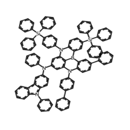 c1ccc(-c2ccc(N3c4ccc(-c5ccccc5)cc4B4c5cc([Si](c6ccccc6)(c6ccccc6)c6ccccc6)ccc5N(c5ccc([Si](c6ccccc6)(c6ccccc6)c6ccccc6)cc5)c5cc(N(c6ccccc6)c6ccc7c(c6)c6ccccc6n7-c6ccccc6)cc3c54)cc2)cc1